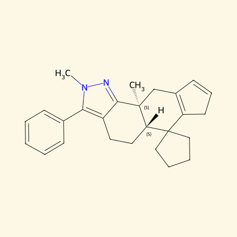 Cn1nc2c(c1-c1ccccc1)CC[C@H]1C3(CCCC3)C3=C(C=CC3)C[C@]21C